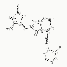 Cc1ccccc1C#Cc1cncc2cc(/C=C3\SC(=S)NC3=O)oc12